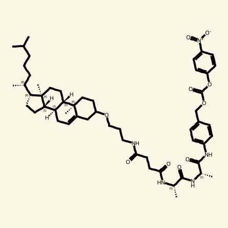 CC(C)CCC[C@@H](C)[C@H]1CC[C@H]2[C@@H]3CC=C4CC(OCCCNC(=O)CCC(=O)N[C@@H](C)C(=O)N[C@@H](C)C(=O)Nc5ccc(COC(=O)Oc6ccc([N+](=O)[O-])cc6)cc5)CC[C@]4(C)[C@H]3CC[C@]12C